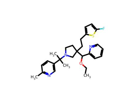 CCOC(c1ccccn1)C1(CCc2ccc(F)s2)CCN(C(C)(C)c2ccc(C)nc2)C1